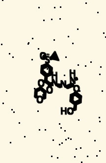 CN/C(=C\N=C\NC(=O)C(OC1CCOCC1)c1ccc([S+]([O-])C2CC2)cc1)Oc1ccc(CO)cc1